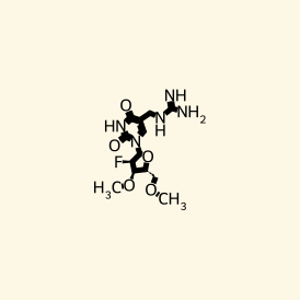 COC[C@H]1OC(n2cc(CNC(=N)N)c(=O)[nH]c2=O)[C@H](F)[C@@H]1OC